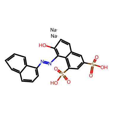 O=S(=O)(O)c1cc(S(=O)(=O)O)c2c(N=Nc3cccc4ccccc34)c(O)ccc2c1.[Na].[Na]